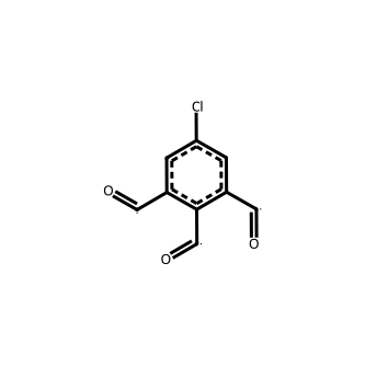 O=[C]c1cc(Cl)cc([C]=O)c1[C]=O